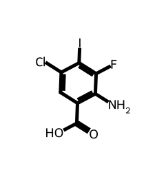 Nc1c(C(=O)O)cc(Cl)c(I)c1F